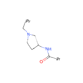 CC(C)CN1CCC(NC(=O)C(C)C)C1